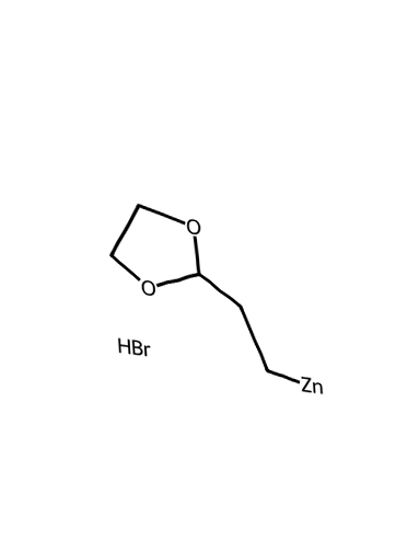 Br.[Zn][CH2]CC1OCCO1